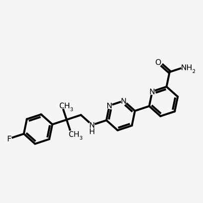 CC(C)(CNc1ccc(-c2cccc(C(N)=O)n2)nn1)c1ccc(F)cc1